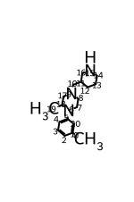 Cc1cccc(N2CCN(CC3CCCNC3)CC2C)c1